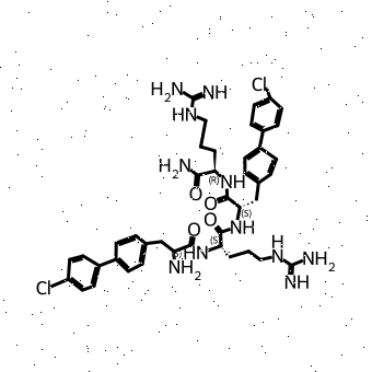 N=C(N)NCCC[C@H](NC(=O)[C@@H](N)Cc1ccc(-c2ccc(Cl)cc2)cc1)C(=O)N[C@@H](Cc1ccc(-c2ccc(Cl)cc2)cc1)C(=O)N[C@H](CCCNC(=N)N)C(N)=O